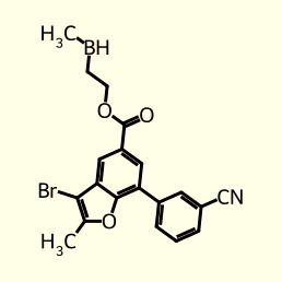 CBCCOC(=O)c1cc(-c2cccc(C#N)c2)c2oc(C)c(Br)c2c1